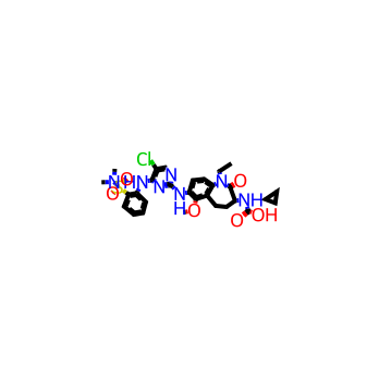 C1CC1.CCN1C(=O)C(NC(=O)O)CCc2c1ccc(Nc1ncc(Cl)c(Nc3ccccc3S(=O)(=O)N(C)C)n1)c2OC